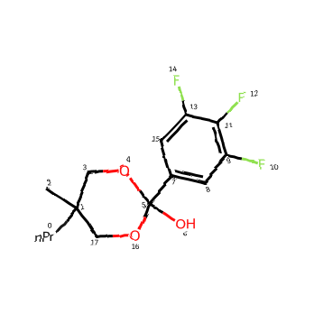 CCCC1(C)COC(O)(c2cc(F)c(F)c(F)c2)OC1